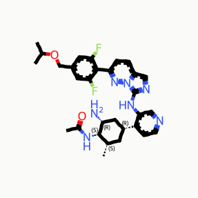 CC(=O)N[C@@H]1[C@H](N)C[C@H](c2ccncc2Nc2ncc3ccc(-c4c(F)cc(COC(C)C)cc4F)nn23)C[C@@H]1C